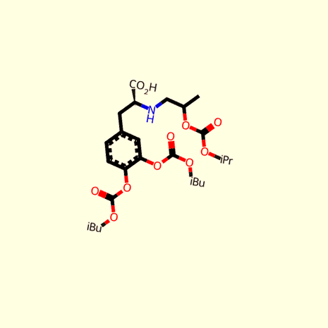 CCC(C)OC(=O)Oc1ccc(C[C@H](NCC(C)OC(=O)OC(C)C)C(=O)O)cc1OC(=O)OC(C)CC